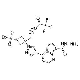 CCS(=O)(=O)N1CC(CC#N)(n2cc(-c3ncnc4c3ccn4C(=O)NN)cn2)C1.O=C(O)C(F)(F)F